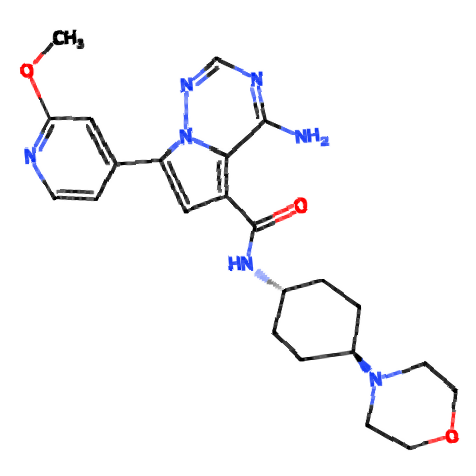 COc1cc(-c2cc(C(=O)N[C@H]3CC[C@H](N4CCOCC4)CC3)c3c(N)ncnn23)ccn1